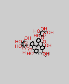 O=C(O)c1cc(O)c2c(c1)[C@H]([C@H]1c3cc(CO)cc(O)c3C(=O)c3c(O[C@@H]4O[C@H](CO)[C@@H](O)[C@H](O)[C@H]4O)cccc31)c1cccc(O[C@@H]3O[C@H](CO)[C@@H](O)[C@H](O)[C@H]3O)c1C2=O